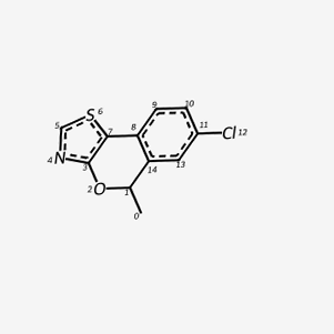 CC1Oc2ncsc2-c2ccc(Cl)cc21